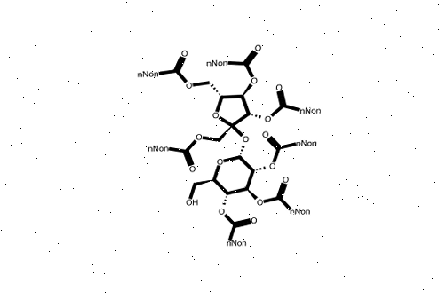 CCCCCCCCCC(=O)OC[C@H]1O[C@@](COC(=O)CCCCCCCCC)(O[C@H]2O[C@H](CO)[C@@H](OC(=O)CCCCCCCCC)[C@H](OC(=O)CCCCCCCCC)[C@H]2OC(=O)CCCCCCCCC)[C@@H](OC(=O)CCCCCCCCC)[C@@H]1OC(=O)CCCCCCCCC